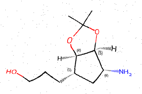 CC1(C)O[C@@H]2[C@@H](CCCO)C[C@@H](N)[C@@H]2O1